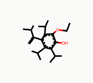 [C]=C(c1c(C(C)C)c(OCC)c(O)c(C(C)C)c1C(C)C)C(C)C